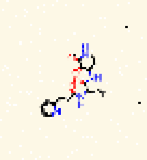 CC(C)C(NC(=O)CCc1ccccn1)C(=O)NC1CCNC(=O)C1=O